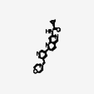 O=C(Nc1cc2nc(-c3cncc(CN4CCOCC4)c3)ccc2cn1)C1CC1